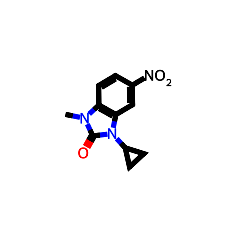 Cn1c(=O)n(C2CC2)c2cc([N+](=O)[O-])ccc21